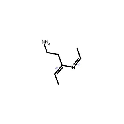 C/C=N\C(=C/C)CCN